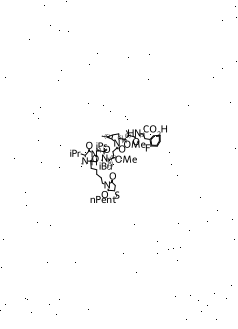 CCCCCSC1CC(=O)N(CCCCCC(=O)N(C)C(C(=O)N[C@H](C(=O)N(C)[C@@H]([C@@H](C)CC)[C@@H](CC(=O)N2C3C(C[C@H]2[C@H](OC)[C@@H](C)C(=O)N[C@@H](Cc2ccccc2F)C(=O)O)[C@@H]3C)OC)C(C)C)C(C)C)C1=O